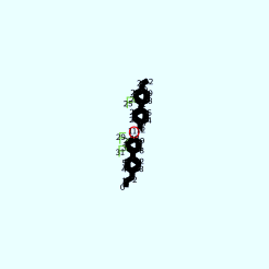 CCCc1ccc(-c2ccc(OCc3ccc(-c4ccc(CC)cc4F)cc3)c(F)c2F)cc1